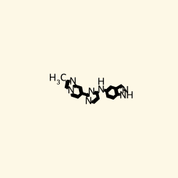 Cc1cn2ccc(-c3nccc(Nc4ccc5[nH]ncc5c4)n3)cc2n1